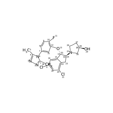 Cc1nnc(C)n1-c1ccc(F)c(O[C@H]2c3cc(Cl)cc(Cl)c3C[C@@H]2N2CC[C@@H](O)C2)c1